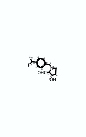 O=CC1[C@@H](O)CCN1Cc1ccc(C(F)F)cc1